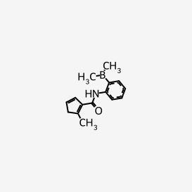 CB(C)c1ccccc1NC(=O)C1=C(C)CC=C1